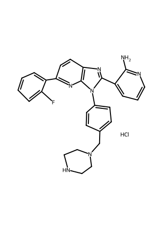 Cl.Nc1ncccc1-c1nc2ccc(-c3ccccc3F)nc2n1-c1ccc(CN2CCNCC2)cc1